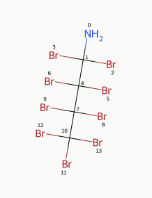 NC(Br)(Br)C(Br)(Br)C(Br)(Br)C(Br)(Br)Br